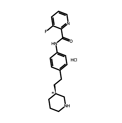 Cl.O=C(Nc1ccc(CC[C@@H]2CCCNC2)cc1)c1ncccc1F